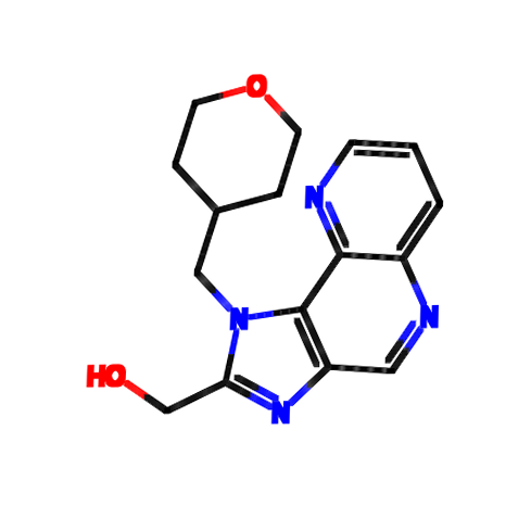 OCc1nc2cnc3cccnc3c2n1CC1CCOCC1